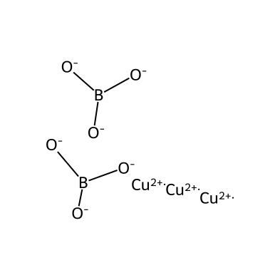 [Cu+2].[Cu+2].[Cu+2].[O-]B([O-])[O-].[O-]B([O-])[O-]